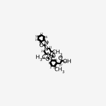 Cc1ccc(S(=O)(=O)N2C(C)CN(c3nc4ccccc4o3)CC2C)cc1CC(=O)O